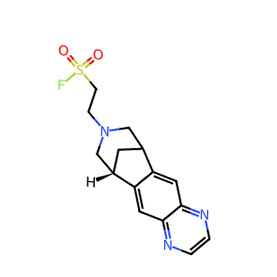 O=S(=O)(F)CCN1CC2C[C@@H](C1)c1cc3nccnc3cc12